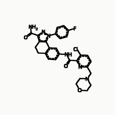 NC(=O)c1nn(-c2ccc(F)cc2)c2c1CCc1ccc(NC(=O)c3nc(CN4CCOCC4)ccc3Cl)cc1-2